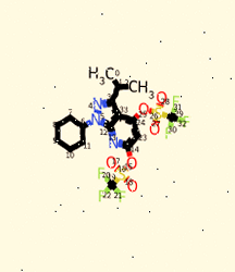 CC(C)c1nn(C2CCCCC2)c2nc(OS(=O)(=O)C(F)(F)F)cc(OS(=O)(=O)C(F)(F)F)c12